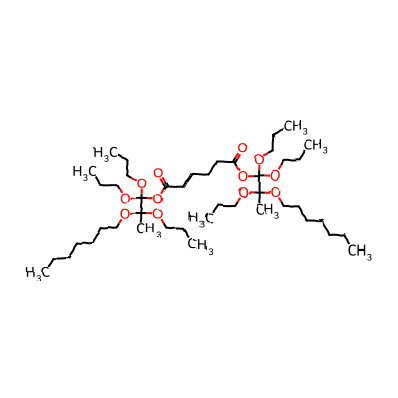 CCCCCCCOC(C)(OCCC)C(OCCC)(OCCC)OC(=O)CCCCC(=O)OC(OCCC)(OCCC)C(C)(OCCC)OCCCCCCC